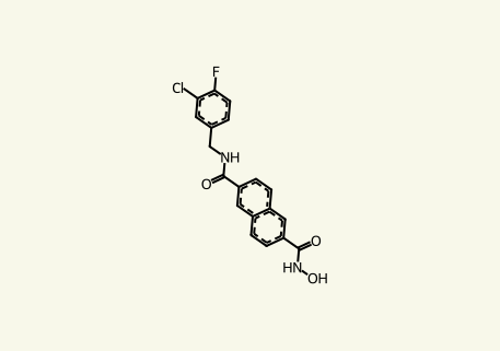 O=C(NO)c1ccc2cc(C(=O)NCc3ccc(F)c(Cl)c3)ccc2c1